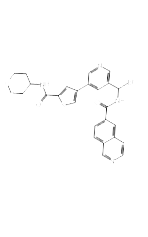 CCC(NC(=O)c1ccc2cnccc2c1)c1cncc(-c2csc(C(=O)NC3CCOCC3)c2)c1